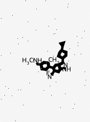 CNCc1cc(C)c(-c2cc3c(-c4ccc(C5CC5)cc4)n[nH]c3cc2C#N)c(F)c1